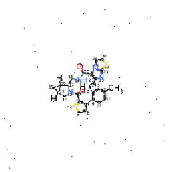 Cc1ccc(-c2ccsc2C(=O)N2C[C@@H]3C[C@@H]3[C@H]2CNC(=O)c2c(C)nc3sccn23)cc1